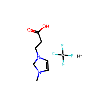 CN1C=CN(CCC(=O)O)C1.F[B-](F)(F)F.[H+]